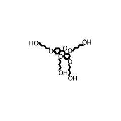 O=C(c1ccc(OCCCCCO)cc1OCCCCCO)c1ccc(OCCCCCO)cc1OCCCCCO